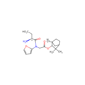 CC12CCC(C1)C(C)(C)C2OC(=O)CN(C(=O)[C@@H](N)CC(=O)O)c1ccco1